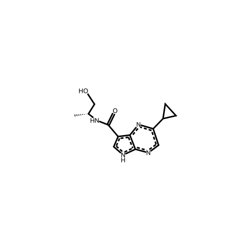 C[C@H](CO)NC(=O)c1c[nH]c2ncc(C3CC3)nc12